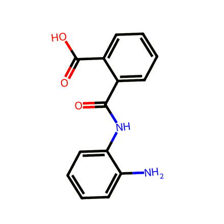 Nc1ccccc1NC(=O)c1ccccc1C(=O)O